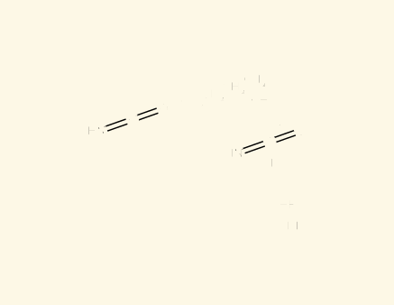 C.C.C.C.C.C.F.F.F.F.N=C=O.N=C=O